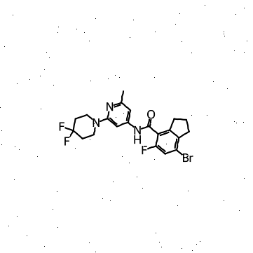 Cc1cc(NC(=O)c2c(F)cc(Br)c3c2CCC3)cc(N2CCC(F)(F)CC2)n1